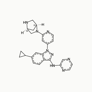 c1cnc(Nc2nn(-c3ccnc(N4C[C@@H]5C[C@H]4CN5)c3)c3cc(C4CC4)ccc23)cn1